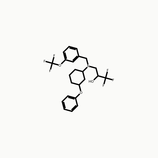 OC(CN(Cc1cccc(OC(F)(F)F)c1)C1CCCC(Oc2ccccc2)C1)C(F)(F)F